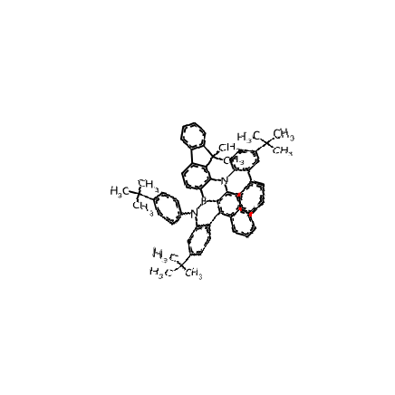 CC(C)(C)c1ccc(N2B3c4ccc5c(c4N(c4ccc(C(C)(C)C)cc4-c4ccccc4)c4cc6ccccc6c(c43)-c3ccc(C(C)(C)C)cc32)C(C)(C)c2ccccc2-5)cc1